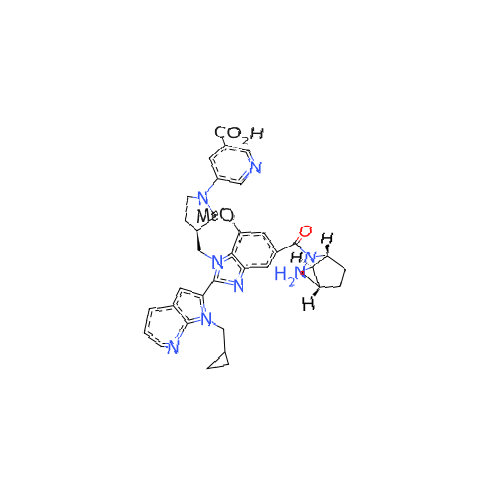 COc1cc(C(=O)N2C[C@H]3CC[C@@H]2[C@@H]3N)cc2nc(-c3cc4cccnc4n3CC3CC3)n(C[C@H]3CCN(c4cncc(C(=O)O)c4)C3)c12